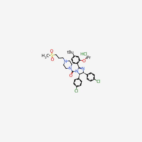 CC(C)Oc1cc(C(C)(C)C)ccc1C1=N[C@@H](c2ccc(Cl)cc2)[C@@H](c2ccc(Cl)cc2)N1C(=O)N1CCN(CCCS(C)(=O)=O)CC1.Cl